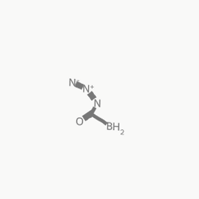 BC(=O)N=[N+]=[N-]